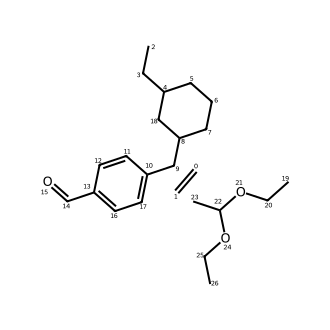 C=C.CCC1CCCC(Cc2ccc(C=O)cc2)C1.CCOC(C)OCC